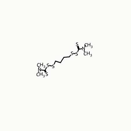 CN(C)C(=S)SSCCCCSSC(=S)N(C)C